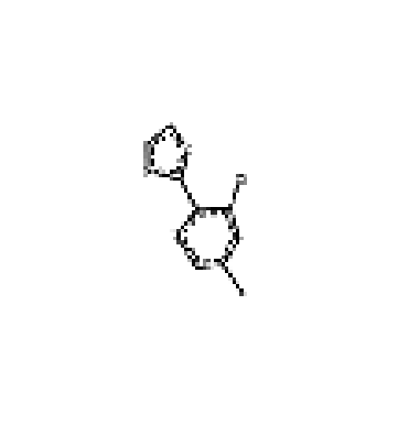 Cc1cnc(-c2ncco2)c(Cl)c1